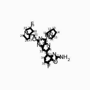 Nc1nc2c(-c3cnc4c(N5CC6CCC(C5)N6)nc(OC[C@@]56CCCN5C[C@H](F)C6)nc4c3)ccc(F)c2o1